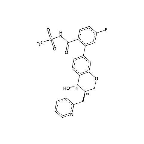 O=C(NS(=O)(=O)C(F)(F)F)c1ccc(F)cc1-c1ccc2c(c1)OC[C@@H](Cc1ccccn1)[C@@H]2O